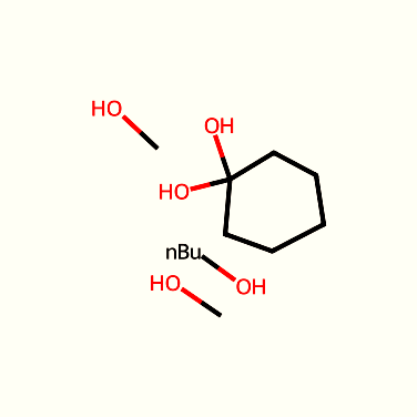 CCCCO.CO.CO.OC1(O)CCCCC1